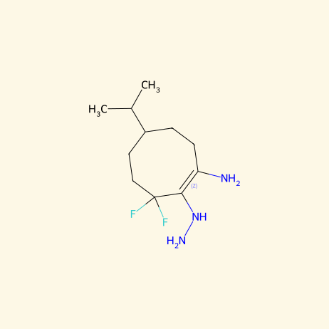 CC(C)C1CC/C(N)=C(/NN)C(F)(F)CC1